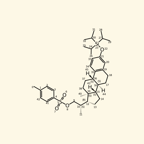 Cc1ccc(S(=O)(=O)OC[C@@H](C)[C@H]2CC[C@H]3[C@@H]4CCc5cc(O[Si](C(C)C)(C(C)C)C(C)C)ccc5[C@H]4CC[C@]23C)cc1